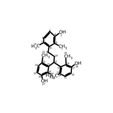 Cc1ccc(O)c(C)c1CCC(c1c(C)ccc(O)c1C)c1c(C)ccc(O)c1C